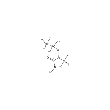 CN1CC(C)(C)C(O[Si](C)(C)C(C)(C)C)C1=O